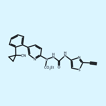 C#Cc1nc(NC(=O)NN(C(=O)OCC)c2ccc(-c3ccccc3C3(C#N)CC3)cn2)cs1